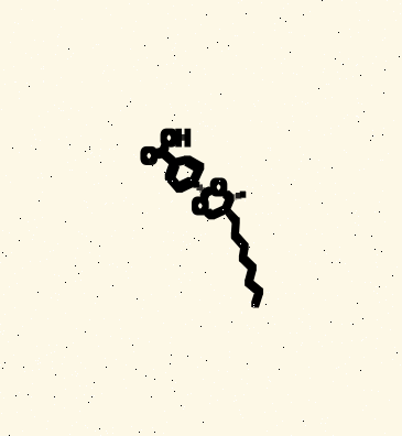 CCCCCCCC[C@H]1CO[C@H](c2ccc(C(=O)O)cc2)O[C@@H]1C